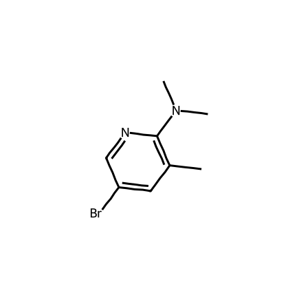 Cc1cc(Br)cnc1N(C)C